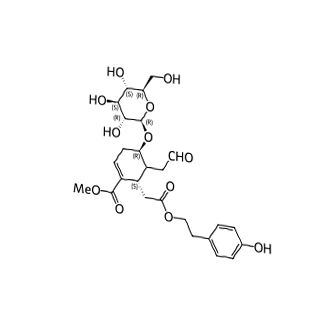 COC(=O)C1=CC[C@@H](O[C@@H]2O[C@H](CO)[C@@H](O)[C@H](O)[C@H]2O)C(CC=O)[C@@H]1CC(=O)OCCc1ccc(O)cc1